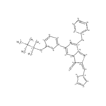 CC(C)(C)[Si](C)(C)Oc1cccc(C2=CN3C(=O)C(=Cc4cccs4)N=C3C(Cc3ccccc3)=N2)c1